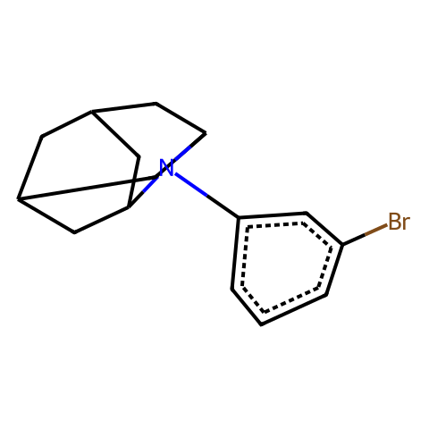 Brc1cccc(N2C3CC4CC(C3)CC2C4)c1